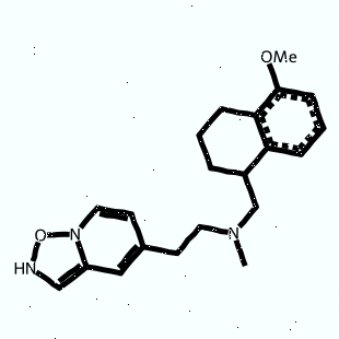 COc1cccc2c1CCCC2CN(C)CCC1=CC2=CNON2C=C1